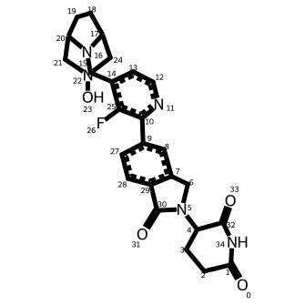 O=C1CCC(N2Cc3cc(-c4nccc(CN5C6CCC5CN(O)C6)c4F)ccc3C2=O)C(=O)N1